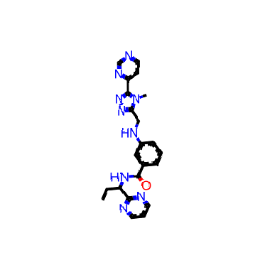 CCC(NC(=O)c1cccc(NCc2nnc(-c3ccncn3)n2C)c1)c1ncccn1